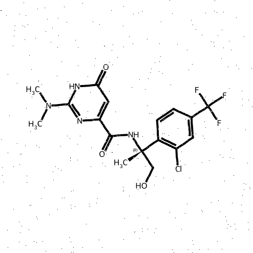 CN(C)c1nc(C(=O)N[C@@](C)(CO)c2ccc(C(F)(F)F)cc2Cl)cc(=O)[nH]1